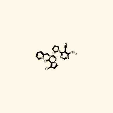 N#Cc1c(N)ncnc1N1CCC[C@H]1c1nn2ccc(Cl)c2c(=O)n1Cc1ccccn1